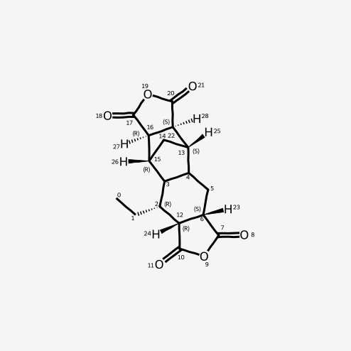 CC[C@@H]1C2C(C[C@@H]3C(=O)OC(=O)[C@@H]31)[C@@H]1C[C@H]2[C@H]2C(=O)OC(=O)[C@H]21